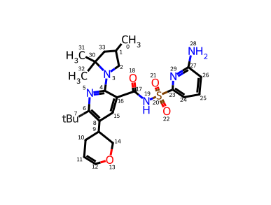 CC1CN(c2nc(C(C)(C)C)c(C3CC=COC3)cc2C(=O)NS(=O)(=O)c2cccc(N)n2)C(C)(C)C1